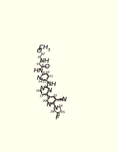 COCCNCC(=O)Nc1ccc(Nc2nccc(-c3cnc(N4CCC(F)C4)c(C#N)c3)n2)cn1